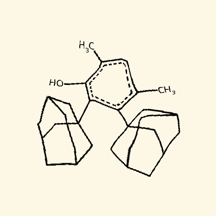 Cc1cc(C)c(C23CC4CC(CC(C4)C2)C3)c(C23CC4CC(CC(C4)C2)C3)c1O